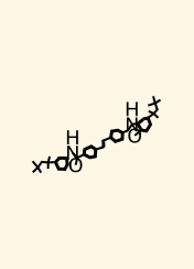 CC(C)(C)CC(C)(C)c1ccc2c(c1)NC(c1ccc(/C=C/c3ccc(C4Nc5cc(C(C)(C)CC(C)(C)C)ccc5O4)cc3)cc1)O2